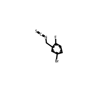 Fc1ccc(Br)cc1CN=C=S